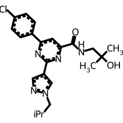 CC(C)Cn1cc(-c2nc(C(=O)NCC(C)(C)O)cc(-c3ccc(Cl)cc3)n2)cn1